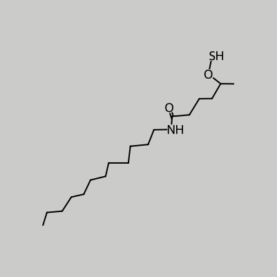 CCCCCCCCCCCCNC(=O)CCCC(C)OS